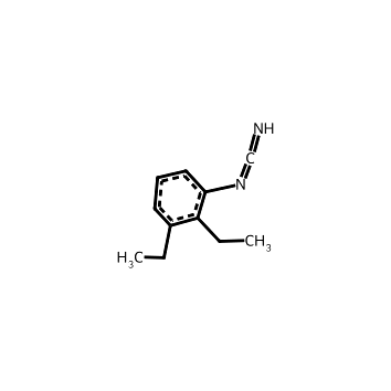 CCc1cccc(N=C=N)c1CC